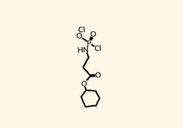 O=C(CCNP(=O)(Cl)OCl)OC1CCCCC1